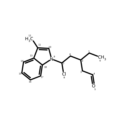 CCC(CC=O)CC(Cl)n1cc(C)c2ccccc21